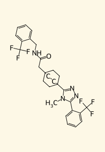 Cn1c(-c2ccccc2C(F)(F)F)nnc1C12CCC(CC(=O)NCc3ccccc3C(F)(F)F)(CC1)CC2